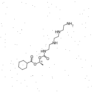 C[C@H](OC(=O)NCCNCCNCCN)OC(=O)C1CCCCC1